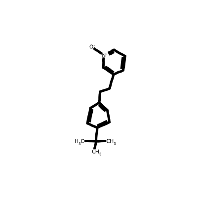 CC(C)(C)c1ccc(CCc2ccc[n+]([O-])c2)cc1